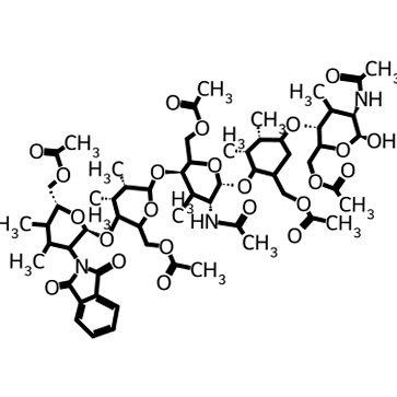 CC(=O)N[C@@H]1C(C)[C@@H](OC2OC(COC(C)=O)C(O[C@@H]3O[C@@H](COC(C)=O)C(C)C(C)C3N3C(=O)c4ccccc4C3=O)[C@H](C)[C@@H]2C)C(COC(C)=O)O[C@@H]1OC1C(COC(C)=O)CC(O[C@H]2C(COC(C)=O)O[C@H](O)[C@H](NC(C)=O)C2C)[C@@H](C)[C@H]1C